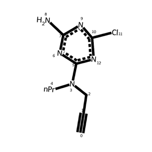 C#CCN(CCC)c1nc(N)nc(Cl)n1